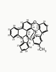 Cc1cc[n+]2c(c1)-c1cccc3c1[N+]21c2c(ccc4c5ccccc5n5c6ccccc6[n+]1c5c24)O3